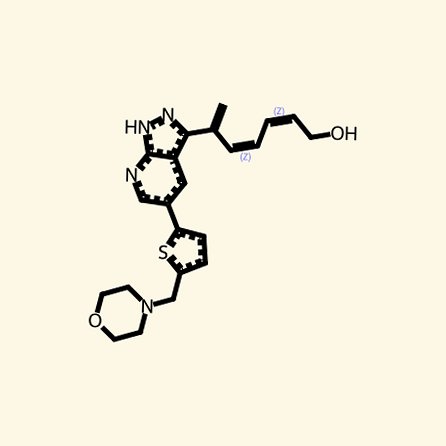 C=C(/C=C\C=C/CO)c1n[nH]c2ncc(-c3ccc(CN4CCOCC4)s3)cc12